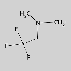 [CH2]N(C)CC(F)(F)F